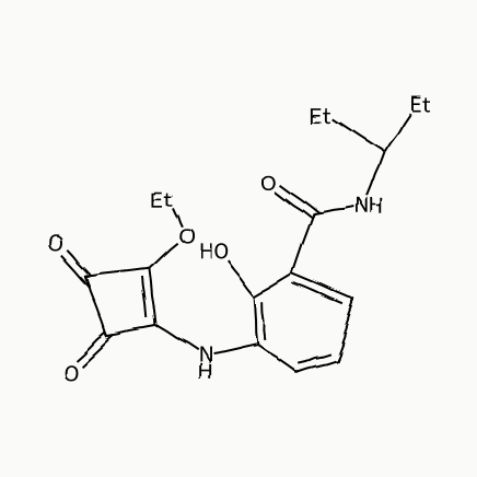 CCOc1c(Nc2cccc(C(=O)NC(CC)CC)c2O)c(=O)c1=O